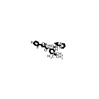 CC(C)(C)N1CC[C@@H](NC(=O)c2cc(-c3ccc(F)cc3F)on2)[C@H](C(=O)NC2(c3ncccn3)CC2)C1